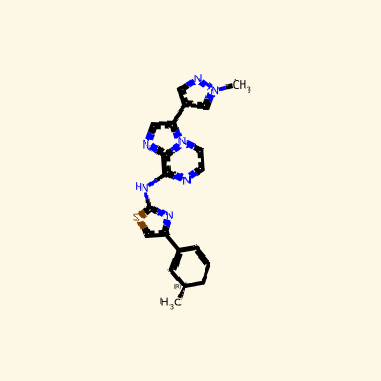 C[C@H]1C=C(c2csc(Nc3nccn4c(-c5cnn(C)c5)cnc34)n2)C=CC1